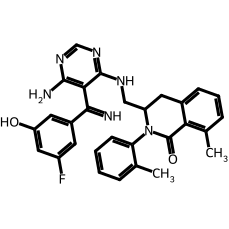 Cc1ccccc1N1C(=O)c2c(C)cccc2CC1CNc1ncnc(N)c1C(=N)c1cc(O)cc(F)c1